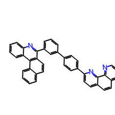 c1cc(-c2ccc(-c3ccc4ccc5cccnc5c4n3)cc2)cc(-c2nc3ccccc3c3c2ccc2ccccc23)c1